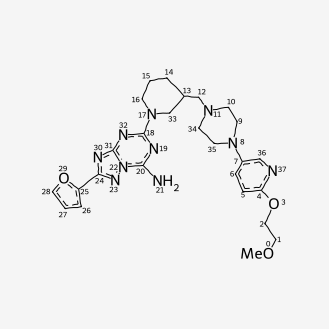 COCCOc1ccc(N2CCN(CC3CCCN(c4nc(N)n5nc(-c6ccco6)nc5n4)C3)CC2)cn1